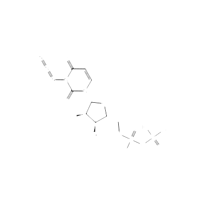 [N-]=[N+]=Nn1c(=O)ccn([C@@H]2O[C@H](COP(=O)(O)OP(=O)(O)O)[C@@H](O)[C@H]2O)c1=O